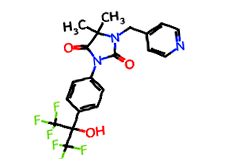 CC1(C)C(=O)N(c2ccc(C(O)(C(F)(F)F)C(F)(F)F)cc2)C(=O)N1Cc1ccncc1